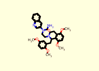 COc1ccc(OC)c(CC2c3c(OC)ccc(OC)c3CCN2CCN(C(N)=O)c2cnc3ccccc3c2)c1